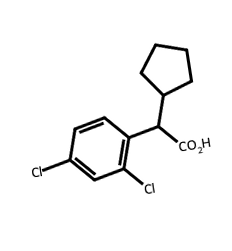 O=C(O)C(c1ccc(Cl)cc1Cl)C1CCCC1